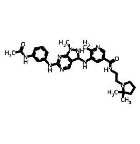 CC(=O)Nc1cccc(Nc2ncc3c(n2)N(C)NC3Nc2cc(C(=O)NCCN3CCCC3(C)C)cnc2C)c1